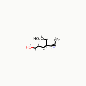 CCC/C=C\C(CCCO)CC(=O)O